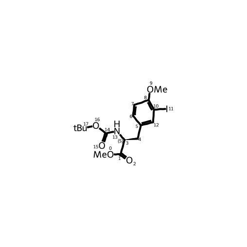 COC(=O)[C@H](Cc1ccc(OC)c(I)c1)NC(=O)OC(C)(C)C